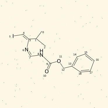 CC(C)C(=C/I)/N=C\NC(=O)OCc1ccccc1